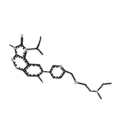 CCN(C)CCOCc1ccc(-c2cc3c(cc2F)nnc2c3n(C(C)C)c(=O)n2C)cn1